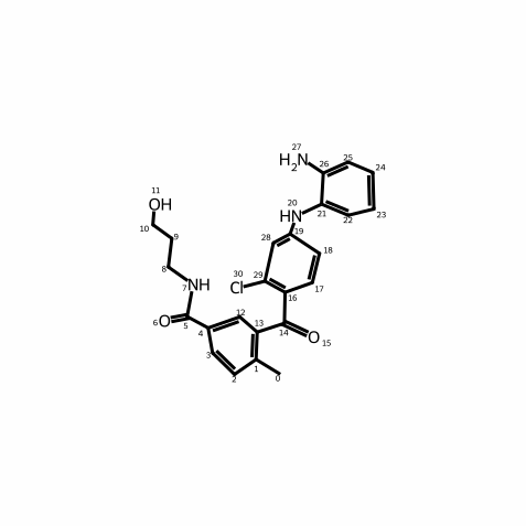 Cc1ccc(C(=O)NCCCO)cc1C(=O)c1ccc(Nc2ccccc2N)cc1Cl